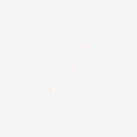 OCCOCCO.[Pb]